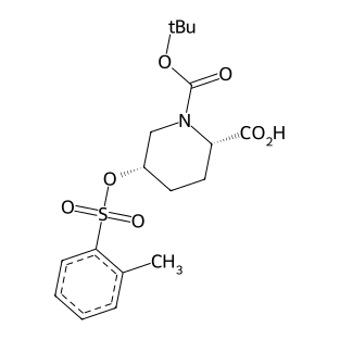 Cc1ccccc1S(=O)(=O)O[C@H]1CC[C@@H](C(=O)O)N(C(=O)OC(C)(C)C)C1